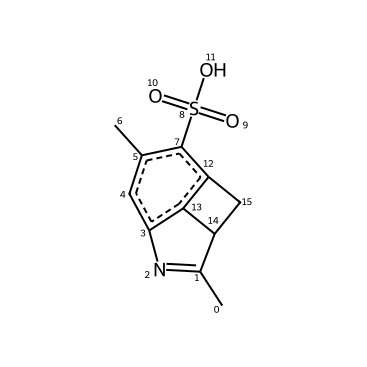 CC1=Nc2cc(C)c(S(=O)(=O)O)c3c2C1C3